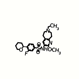 CCN1CCc2cc(NS(=O)(=O)c3ccc([C@@H]4CCCCO4)c(F)c3)c(OC)nc2CC1